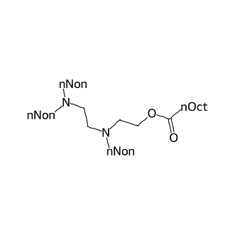 CCCCCCCCCN(CCCCCCCCC)CCN(CCCCCCCCC)CCOC(=O)CCCCCCCC